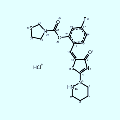 Cl.O=C1N=C(N2CCCCN2)S/C1=C/c1ccc(F)cc1OC(=O)N1CCSC1